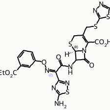 CCOC(=O)c1cccc(O/N=C(\C(=O)NC2C(=O)N3C(C(=O)O)=C(CSc4nncs4)CS[C@H]23)c2nsc(N)n2)c1